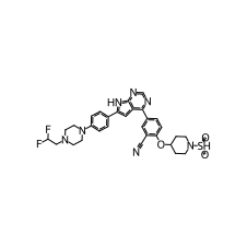 N#Cc1cc(-c2ncnc3[nH]c(-c4ccc(N5CCN(CC(F)F)CC5)cc4)cc23)ccc1OC1CCN([SH](=O)=O)CC1